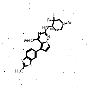 COc1nc(N[C@@H]2CCN(C(C)=O)CC2(F)F)nn2ccc(-c3ccc4nc(C)oc4c3)c12